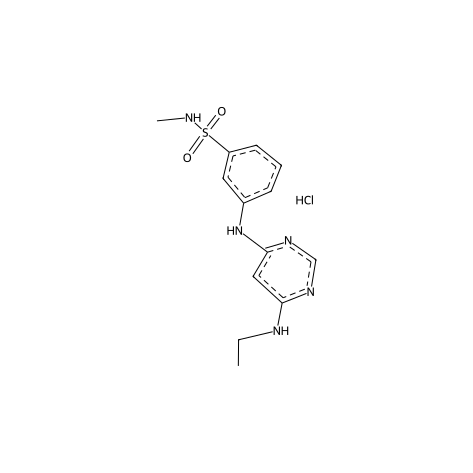 CCNc1cc(Nc2cccc(S(=O)(=O)NC)c2)ncn1.Cl